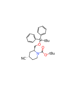 CC(C)(C)OC(=O)N1CC[C@H](C#N)C[C@H]1CO[Si](c1ccccc1)(c1ccccc1)C(C)(C)C